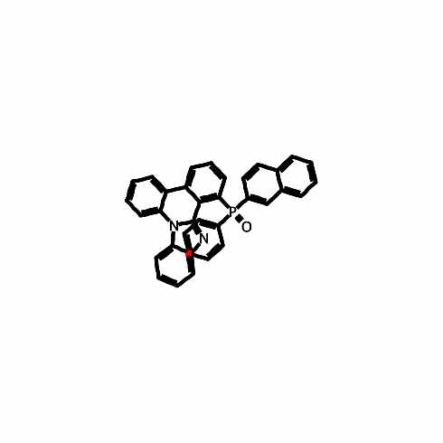 O=P(c1ccccc1)(c1ccc2ccccc2c1)c1cccc2c3ccccc3n3c4ccccc4nc3c12